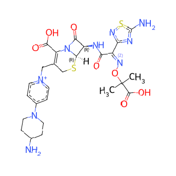 CC(C)(O/N=C(\C(=O)N[C@@H]1C(=O)N2C(C(=O)O)=C(C[n+]3ccc(N4CCC(N)CC4)cc3)CS[C@H]12)c1nsc(N)n1)C(=O)O